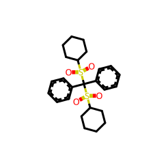 O=S(=O)(C1CCCCC1)C(c1ccccc1)(c1ccccc1)S(=O)(=O)C1CCCCC1